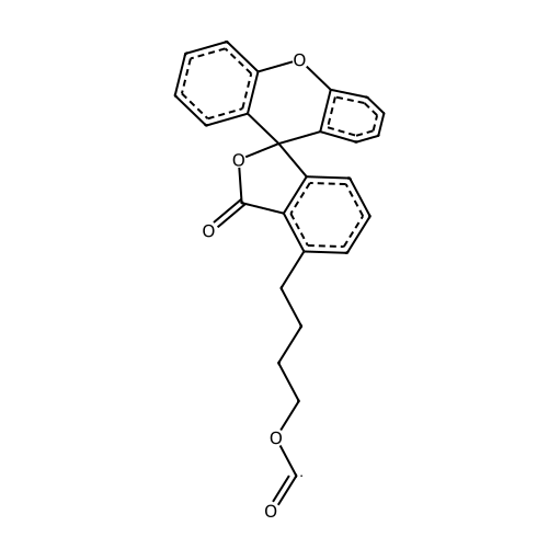 O=[C]OCCCCc1cccc2c1C(=O)OC21c2ccccc2Oc2ccccc21